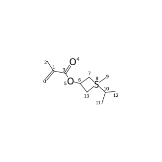 C=C(C)C(=O)OC1CS(C)(C(C)C)C1